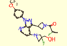 C=C(F)C(=O)N1CC(c2nn(-c3ccc(OC(F)(F)F)cc3)c3nccc(N4CC(F)(CO)C4)c23)C1